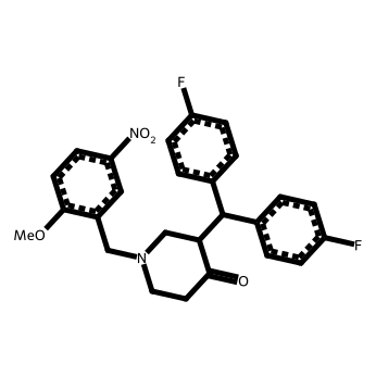 COc1ccc([N+](=O)[O-])cc1CN1CCC(=O)C(C(c2ccc(F)cc2)c2ccc(F)cc2)C1